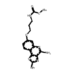 CCCc1nc2c(N)nc3cc(OCCCNC(=O)OC(C)(C)C)ccc3c2s1